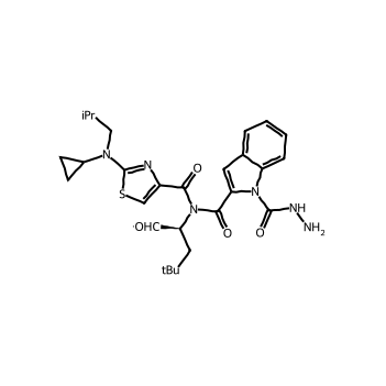 CC(C)CN(c1nc(C(=O)N(C(=O)c2cc3ccccc3n2C(=O)NN)[C@H]([C]=O)CC(C)(C)C)cs1)C1CC1